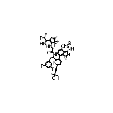 C[C@@H]1CC(C(=N)C(F)F)=C(NCC(=O)NC(Cc2cc(F)cc(F)c2)c2nc(C#CC(C)(C)O)ccc2-c2ccc(Cl)c3c(N[S+](C)[O-])nn(C)c23)C1(F)F